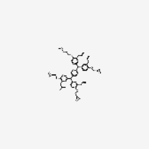 C=CCc1cc(C(c2ccc(C(c3ccc(OCC4CO4)c(CC=C)c3)c3ccc(OCC4CO4)c(CC(C)C)c3)cc2)c2ccc(OCC3CO3)c(CC=C)c2)ccc1OCCCOC